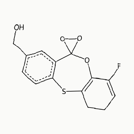 OCc1ccc2c(c1)C1(OO1)OC1=C(CCC=C1F)S2